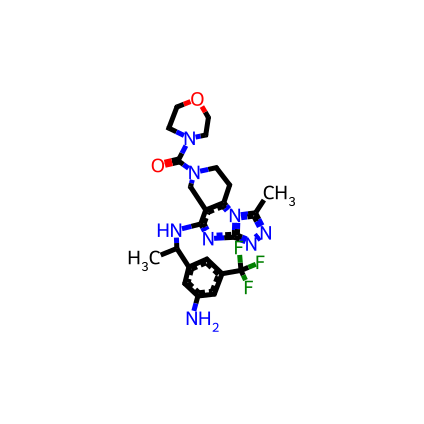 Cc1nnc2nc(NC(C)c3cc(N)cc(C(F)(F)F)c3)c3c(n12)CCN(C(=O)N1CCOCC1)C3